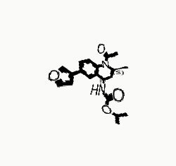 CC(=O)N1c2ccc(-c3ccoc3)cc2[C@H](NC(=O)OC(C)C)C[C@@H]1C